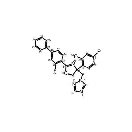 Fc1ccc(C2(Cn3cncn3)COC(c3ccc(-c4ccccc4)cc3F)=N2)c(F)c1